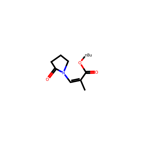 CCCCOC(=O)C(C)=CN1CCCC1=O